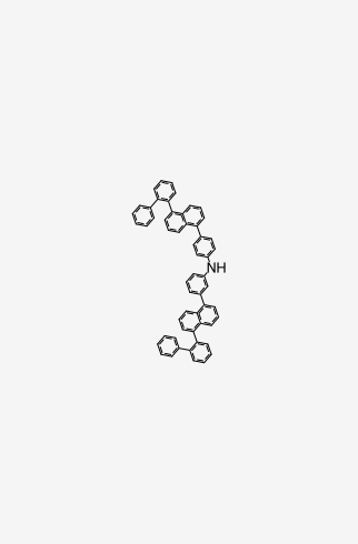 c1ccc(-c2ccccc2-c2cccc3c(-c4ccc(Nc5cccc(-c6cccc7c(-c8ccccc8-c8ccccc8)cccc67)c5)cc4)cccc23)cc1